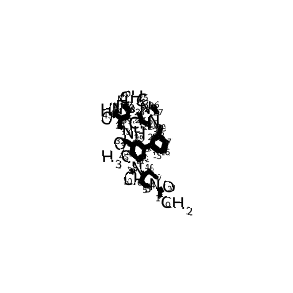 C=CC(=O)N1CCC(N(CC)c2cc(-c3cccc(CN4CCCN(C)CC4)c3)cc(C(=O)NCc3c(C)cc(C)[nH]c3=O)c2C)CC1